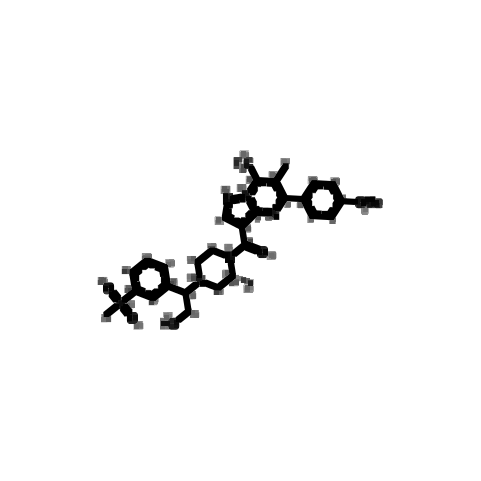 COc1ccc(-c2nc3c(C(=O)N4CCN(C(CO)c5cccc(S(C)(=O)=O)c5)C[C@H]4C)cnn3c(C(F)(F)F)c2C)cc1